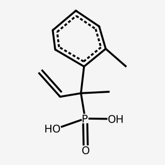 C=CC(C)(c1ccccc1C)P(=O)(O)O